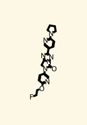 O=C1N(c2ccc(OCCF)nc2)Cc2nc(-c3ccc(N4CCCC4)nc3)nn21